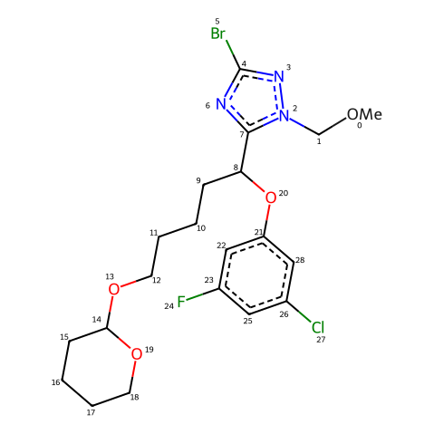 COCn1nc(Br)nc1C(CCCCOC1CCCCO1)Oc1cc(F)cc(Cl)c1